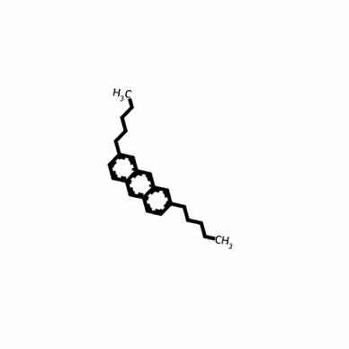 CCCCCc1ccc2cc3ccc(CCCCC)cc3cc2c1